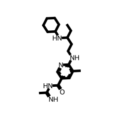 CCC(CCNc1ncc(C(=O)NC(C)=N)cc1C)NC1CCCCC1